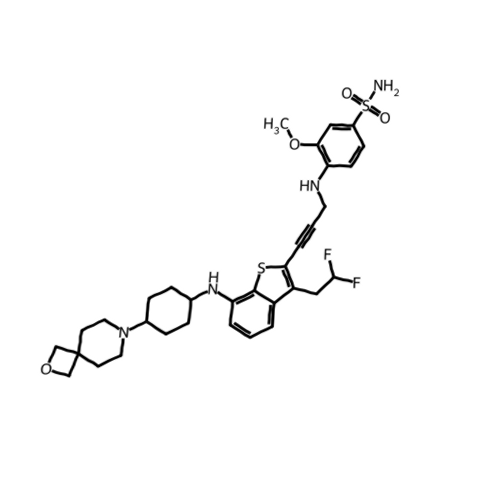 COc1cc(S(N)(=O)=O)ccc1NCC#Cc1sc2c(NC3CCC(N4CCC5(CC4)COC5)CC3)cccc2c1CC(F)F